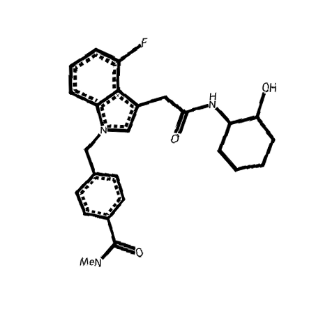 CNC(=O)c1ccc(Cn2cc(CC(=O)NC3CCCCC3O)c3c(F)cccc32)cc1